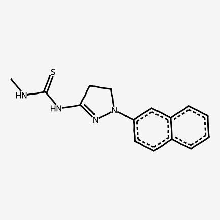 CNC(=S)NC1=NN(c2ccc3ccccc3c2)CC1